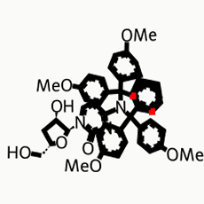 COc1ccc(C(c2ccccc2)(c2ccc(OC)cc2)N(c2ccn([C@@H]3O[C@H](CO)C[C@@H]3O)c(=O)n2)C(c2ccccc2)(c2ccc(OC)cc2)c2ccc(OC)cc2)cc1